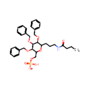 CCCC(=O)NCCCC1OC(COP(=O)(O)O)C(OCc2ccccc2)C(OCc2ccccc2)C1OCc1ccccc1